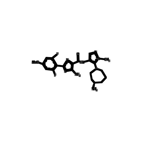 COc1cc(F)c(-c2nc(C(=O)Nc3cnn(C)c3N3CCC[C@@H](N)CC3)c(N)s2)c(F)c1